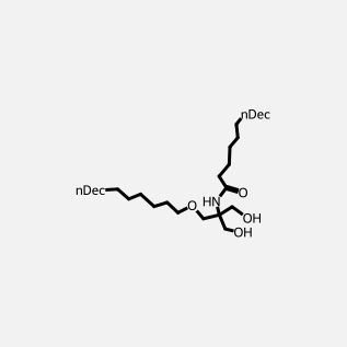 CCCCCCCCCCCCCCCCOCC(CO)(CO)NC(=O)CCCCCCCCCCCCCCC